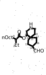 CCCCCCCCC(CC)C(=O)OC1CNCCC12CCC(C=O)CC2